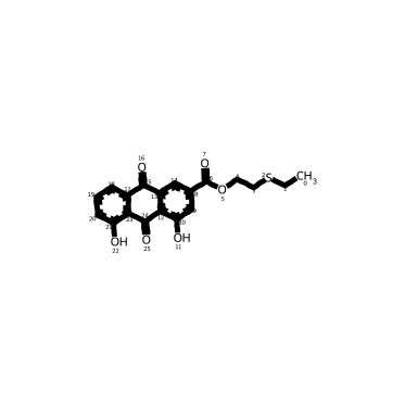 CCSCCOC(=O)c1cc(O)c2c(c1)C(=O)c1cccc(O)c1C2=O